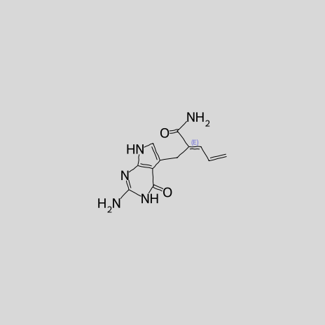 C=C/C=C(\Cc1c[nH]c2nc(N)[nH]c(=O)c12)C(N)=O